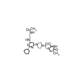 CC(=O)NCCNc1cc(N2CCN(C(=O)Cn3cc(C)c(=O)[nH]c3=O)CC2)nc(-c2ccccc2)n1